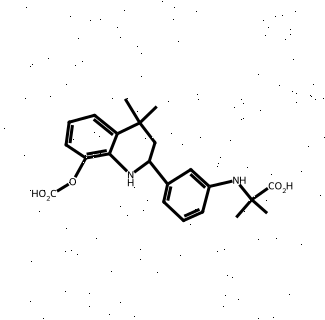 CC(C)(Nc1cccc(C2CC(C)(C)c3cccc(OC(=O)O)c3N2)c1)C(=O)O